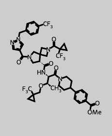 COC(=O)c1ccc(C2CCN(C(=O)[C@@H](NC(=O)[C@@H]3CN(C(=O)c4cnn(Cc5ccc(C(F)(F)F)cc5)c4)CC34CN(C(=O)C3(C(F)(F)F)CC3)C4)[C@@H](C)OCC3(C(F)(F)F)CC3)CC2)cc1